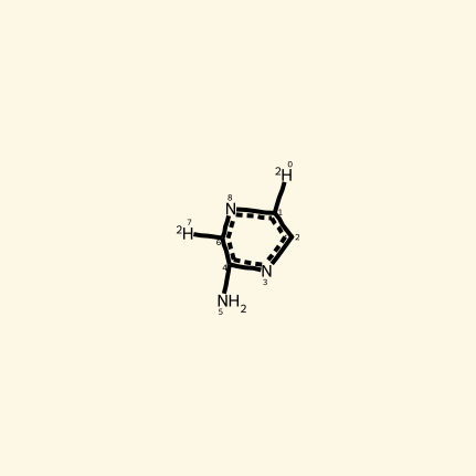 [2H]c1cnc(N)c([2H])n1